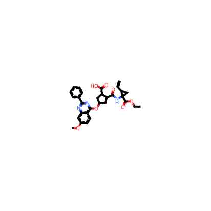 C=CC1CC1(NC(=O)C1CC(Oc2nc(-c3ccccc3)nc3cc(OC)ccc23)CC1C(=O)O)C(=O)OCC